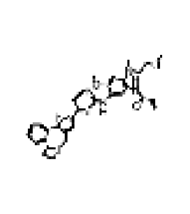 C=CC(=O)Nc1cc(Nc2nccc(-n3cc(CN4CCC4)c(-c4ccccc4)n3)n2)c(OC)cc1N(C)CCOC